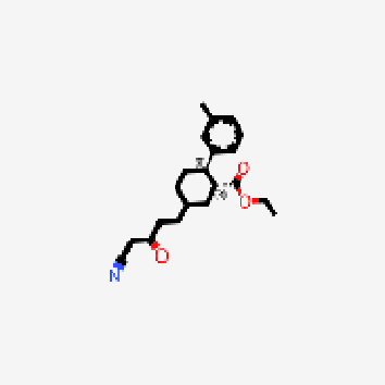 CCOC(=O)[C@@H]1CC(CCC(=O)CC#N)CC[C@H]1c1cccc(C)c1